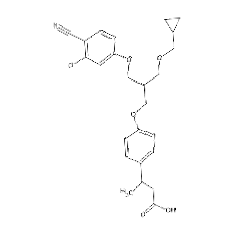 CC(CC(=O)O)c1ccc(OCC(COCC2CC2)COc2ccc(C#N)c(Cl)c2)cc1